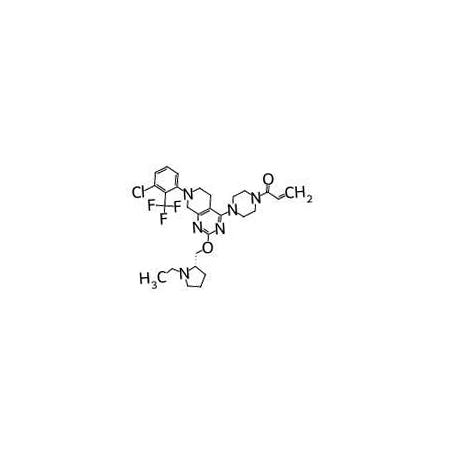 C=CC(=O)N1CCN(c2nc(OC[C@@H]3CCCN3CC)nc3c2CCN(c2cccc(Cl)c2C(F)(F)F)C3)CC1